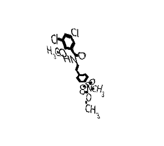 CCOC(=O)N(C)S(=O)(=O)c1ccc(CCNC(=O)c2cc(Cl)cc(Cl)c2OC)cc1